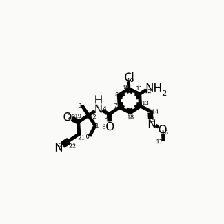 CCC(C)(NC(=O)c1cc(Cl)c(N)c(C=NOC)c1)C(=O)CC#N